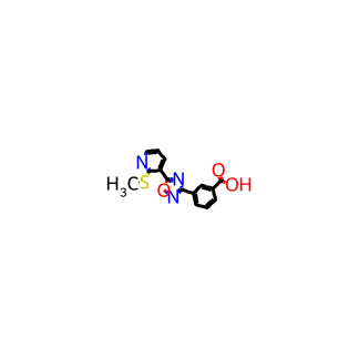 CSc1ncccc1-c1nc(-c2cccc(C(=O)O)c2)no1